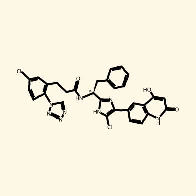 O=C(CCc1cc(Cl)ccc1-n1cnnn1)N[C@@H](Cc1ccccc1)c1nc(-c2ccc3[nH]c(=O)cc(O)c3c2)c(Cl)[nH]1